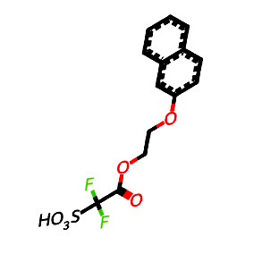 O=C(OCCOc1ccc2ccccc2c1)C(F)(F)S(=O)(=O)O